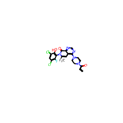 C=CC(=O)N1CCN(c2ncnc3c(=O)n(-c4c(O)c(Cl)cc(Cl)c4F)c(C(F)(F)F)cc23)CC1